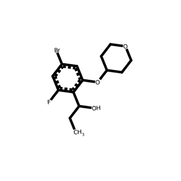 CCC(O)c1c(F)cc(Br)cc1OC1CCOCC1